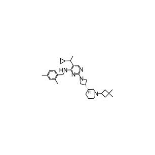 Cc1ccc(CNc2nc(N3CC([C@H]4CCCN(C5CC(C)(C)C5)C4)C3)ncc2C(C)C2CC2)c(C)c1